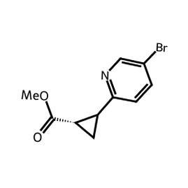 COC(=O)[C@H]1CC1c1ccc(Br)cn1